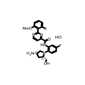 COc1cccc(F)c1-c1nccc(C(=O)Nc2cc(F)ccc2N2C[C@@H](N)C[C@H]2CO)n1.Cl